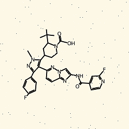 Cn1nc(-c2ccc(F)cc2)c(-c2ccc3nc(NC(=O)c4ccnc(F)c4)cn3n2)c1C1CCN(C(=O)O)C(C(C)(C)C)C1